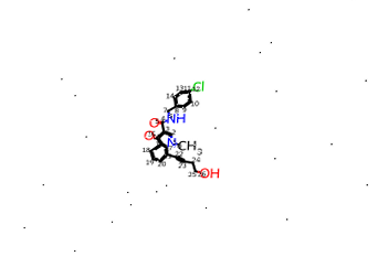 Cn1cc(C(=O)NCc2ccc(Cl)cc2)c(=O)c2cccc(C#CCCO)c21